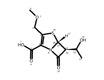 COCC1=C(C(=O)O)N2C(=O)[C@H](C(C)O)[C@H]2S1